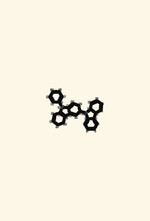 C1=CC2c3ccccc3N(C3C=c4c5c(n(-c6ccccc6)c4=CC3)C=CCC5)C2C=C1